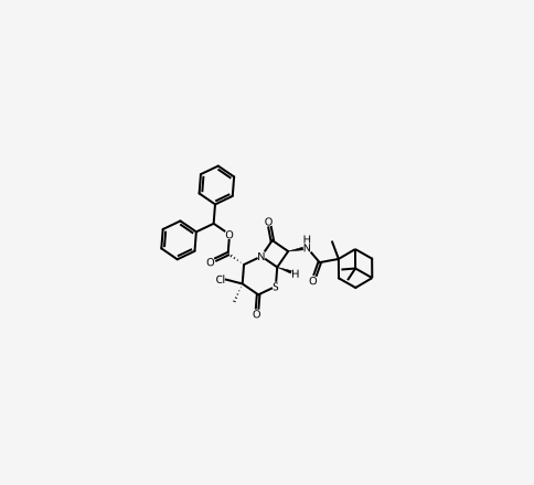 CC1(C(=O)N[C@@H]2C(=O)N3[C@@H](C(=O)OC(c4ccccc4)c4ccccc4)[C@](C)(Cl)C(=O)S[C@@H]23)CCC2CC1C2(C)C